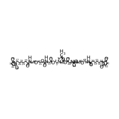 CC(=O)CN(CCOC(=O)CNC(=O)OCCOCCNC(=O)CCCCCN1C(=O)C=CC1=O)CCOC(=O)CNC(=O)OCCOCCNC(=O)CCCCCN1C(=O)C=CC1=O